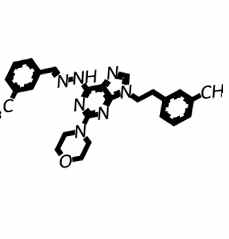 Cc1cccc(C=NNc2nc(N3CCOCC3)nc3c2ncn3CCc2cccc(C)c2)c1